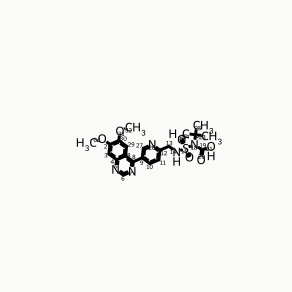 COc1cc2ncnc(-c3ccc(CNS(=O)(=O)N(C(=O)O)C(C)(C)C)nc3)c2cc1OC